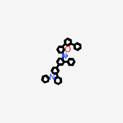 CN(c1ccc(-c2ccc3c(c2)c2c(n3C3=CC=CCC3)CCC=C2)cc1-c1ccccc1)c1cccc2c1oc1c(-c3ccccc3)cccc12